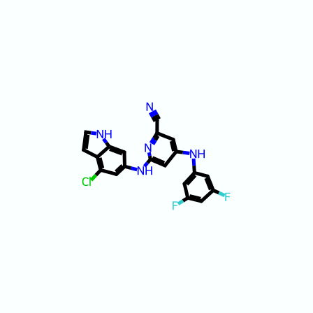 N#Cc1cc(Nc2cc(F)cc(F)c2)cc(Nc2cc(Cl)c3cc[nH]c3c2)n1